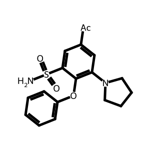 CC(=O)c1cc(N2CCCC2)c(Oc2ccccc2)c(S(N)(=O)=O)c1